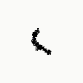 O=C(Nc1ccc(CCCCn2ccnn2)cc1)Oc1coc(/C=C/c2ccc(OC(F)F)cc2)n1